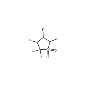 O=S1(=O)C(F)C(F)C(F)C1(F)F